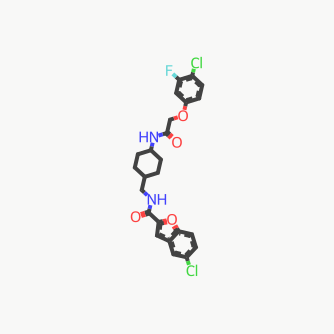 O=C(COc1ccc(Cl)c(F)c1)NC1CCC(CNC(=O)c2cc3cc(Cl)ccc3o2)CC1